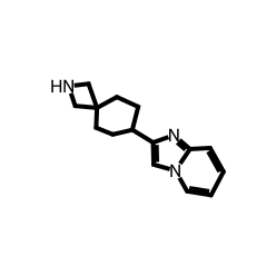 c1ccn2cc(C3CCC4(CC3)CNC4)nc2c1